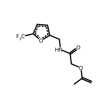 C=C(C)OCC(=O)NCc1ccc(C(F)(F)F)o1